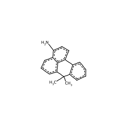 CC1(C)c2ccccc2-c2ccc(N)c3cccc1c23